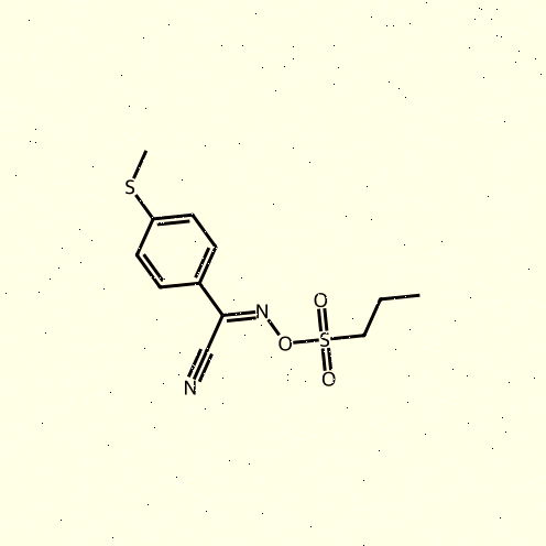 CCCS(=O)(=O)ON=C(C#N)c1ccc(SC)cc1